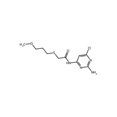 COCCCSCC(=O)Nc1cc(Cl)nc(N)n1